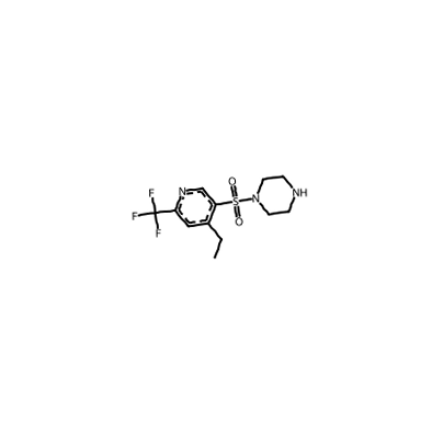 CCc1cc(C(F)(F)F)ncc1S(=O)(=O)N1CCNCC1